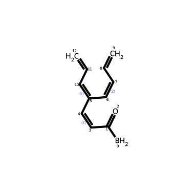 BC(=O)\C=C/C(/C=C\C=C)=C/C=C